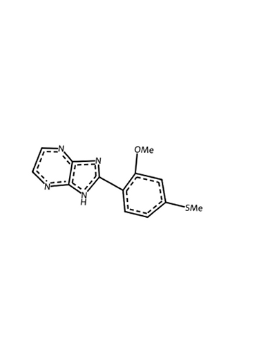 COc1cc(SC)ccc1-c1nc2nccnc2[nH]1